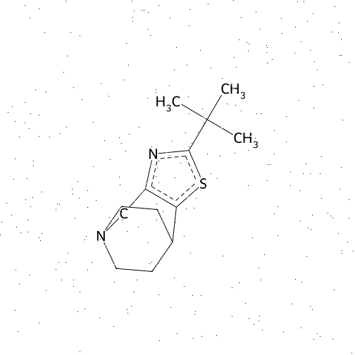 CC(C)(C)c1nc2c(s1)C1CCN(CC1)C2